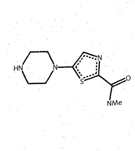 CNC(=O)c1ncc(N2CCNCC2)s1